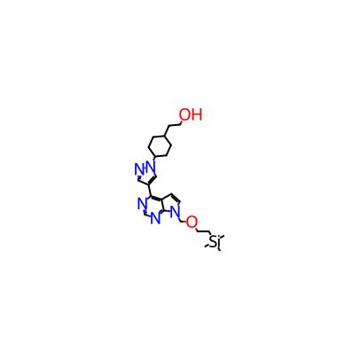 C[Si](C)(C)CCOCn1ccc2c(-c3cnn(C4CCC(CCO)CC4)c3)ncnc21